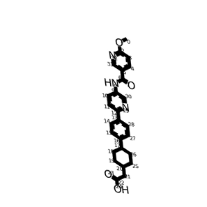 COc1ccc(C(=O)Nc2ccc(-c3ccc(C4CCC(CC(=O)O)CC4)cc3)nc2)cn1